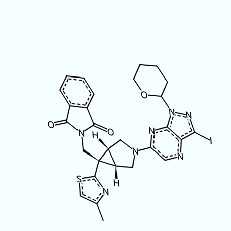 Cc1csc([C@]2(CN3C(=O)c4ccccc4C3=O)[C@@H]3CN(c4cnc5c(I)nn(C6CCCCO6)c5n4)C[C@@H]32)n1